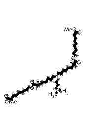 COC(=O)CCCCCCCCOC(=O)C(F)(F)CCCCCCN(CCCCCCC(F)(F)C(=O)OCCCCCCCCC(=O)OC)CCCCN(C)C